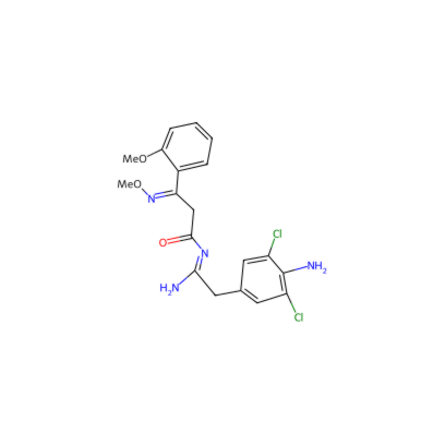 CON=C(CC(=O)N=C(N)Cc1cc(Cl)c(N)c(Cl)c1)c1ccccc1OC